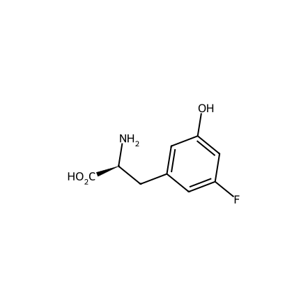 N[C@@H](Cc1cc(O)cc(F)c1)C(=O)O